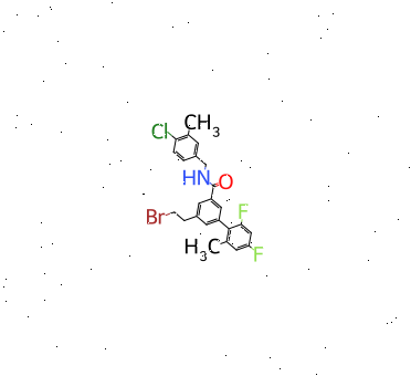 Cc1cc(CNC(=O)c2cc(CCBr)cc(-c3c(C)cc(F)cc3F)c2)ccc1Cl